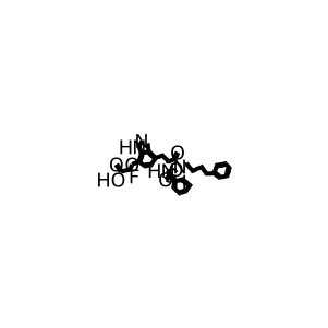 O=C(NCCCCc1ccccc1)C(Cc1ccc(OC(F)C(=O)O)c2[nH]ncc12)NS(=O)(=O)c1ccccc1